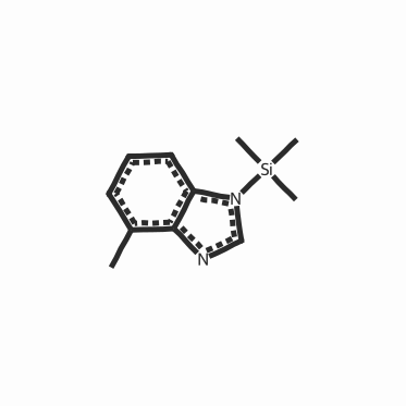 Cc1cccc2c1ncn2[Si](C)(C)C